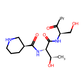 CC(C)C(=O)[C@@H](CO)NC(=O)[C@@H](NC(=O)[C@H]1CCCNC1)[C@H](C)O